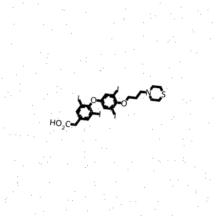 O=C(O)Cc1cc(I)c(Oc2cc(I)c(OCCCN3CCSCC3)c(I)c2)c(I)c1